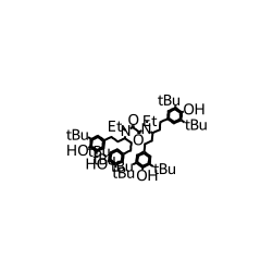 CCN(C(=O)C(=O)N(CC)C(CCc1cc(C(C)(C)C)c(O)c(C(C)(C)C)c1)CCc1cc(C(C)(C)C)c(O)c(C(C)(C)C)c1)C(CCc1cc(C(C)(C)C)c(O)c(C(C)(C)C)c1)CCc1cc(C(C)(C)C)c(O)c(C(C)(C)C)c1